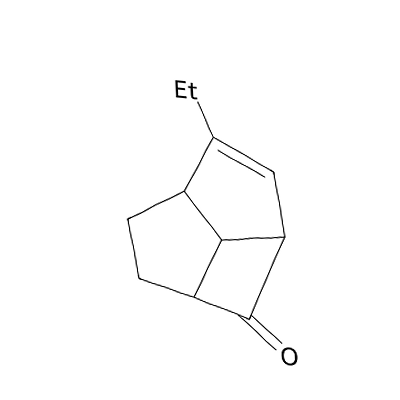 CCC1=CC2C(=O)C3CCC1C23